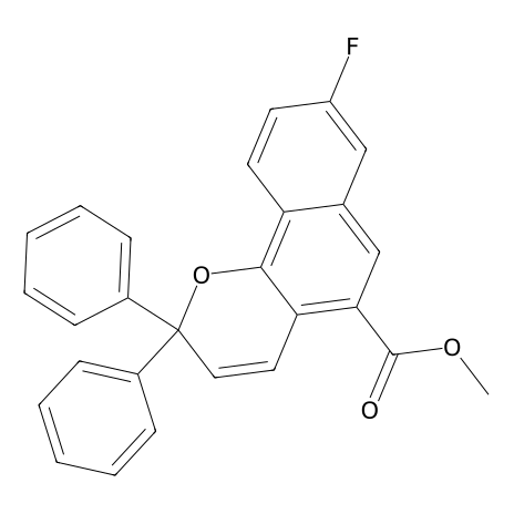 COC(=O)c1cc2cc(F)ccc2c2c1C=CC(c1ccccc1)(c1ccccc1)O2